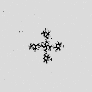 CC1(C)CC(COC(=O)CC(CC(=O)OCC2CC(C)(C)NC2(C)C)(CC(=O)OCC2CC(C)(C)NC2(C)C)CC(=O)OCC2CC(C)(C)NC2(C)C)C(C)(C)N1